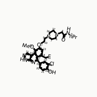 CCCNC(=O)CN1CCN(CCOc2cc(CF)c3c(-c4ccc(O)c(Cl)c4)nc4[nH]ncc4c3c2OC)CC1